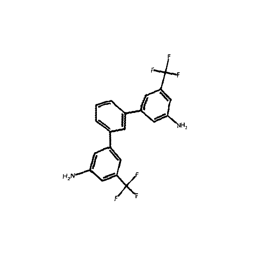 Nc1cc(-c2cccc(-c3cc(N)cc(C(F)(F)F)c3)c2)cc(C(F)(F)F)c1